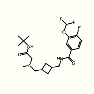 CN(CC(=O)NC(C)(C)C)C[C@H]1C[C@@H](CNC(=O)c2ccc(F)c(OC(F)F)c2)C1